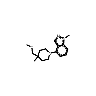 COCC1(C)CCN(c2cccc3c2cnn3C)CC1